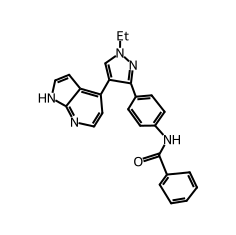 CCn1cc(-c2ccnc3[nH]ccc23)c(-c2ccc(NC(=O)c3ccccc3)cc2)n1